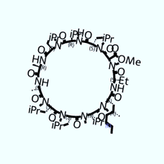 C/C=C/C[C@@H](C)C[C@H]1C(=O)N[C@@H](CC)C(=O)N(C)C(C(=O)OC)C(=O)N(C)[C@@H](CC(C)C)C(=O)N[C@H](C(C)C)C(=O)N(C)[C@H](CC(C)C)C(=O)N[C@H](C)C(=O)N[C@@H](C)C(=O)N(C)[C@@H](CC(C)C)C(=O)N(C)[C@@H](CC(C)C)C(=O)N(C)[C@@H](C(C)C)C(=O)N1C